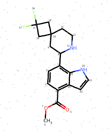 COC(=O)c1ccc(C2CC3(CCN2)CC(F)(F)C3)c2[nH]ccc12